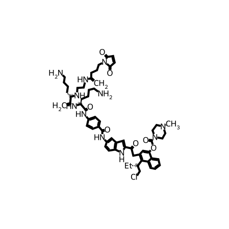 C=C(CCCN1C(=O)C=CC1=O)NCCN[C@@H](CCCCN)C(=C)N[C@@H](CCCCN)C(=O)Nc1ccc(C(=O)Nc2ccc3[nH]c(C(=O)Cc4cc(OC(=O)N5CCN(C)CC5)c5ccccc5c4[C@@H](CC)CCl)cc3c2)cc1